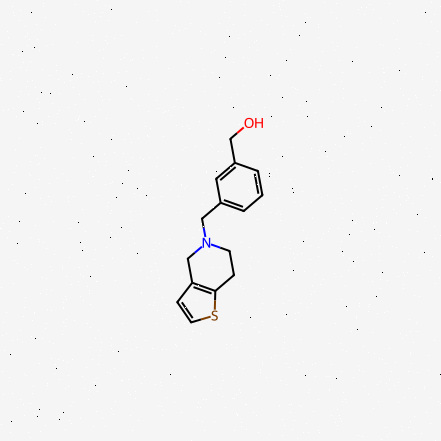 OCc1cccc(CN2CCc3sccc3C2)c1